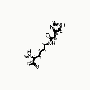 CNC(CCCCNC(=O)Cc1c[nH]cn1)C(C)=O